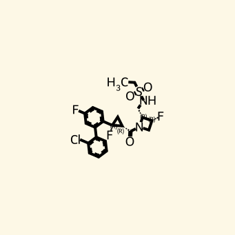 CCS(=O)(=O)NC[C@@H]1[C@H](F)CN1C(=O)[C@H]1C[C@]1(F)c1ccc(F)cc1-c1ccccc1Cl